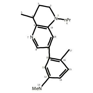 CCCN1CCC(C)c2ncc(-c3cc(NC)ccc3C)cc21